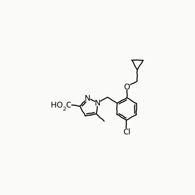 Cc1cc(C(=O)O)nn1Cc1cc(Cl)ccc1OCC1CC1